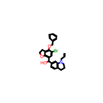 C=CCN1CCCc2ccc(C(O)c3cc(Br)c(OCc4ccccc4)c4c3OCC4)cc21